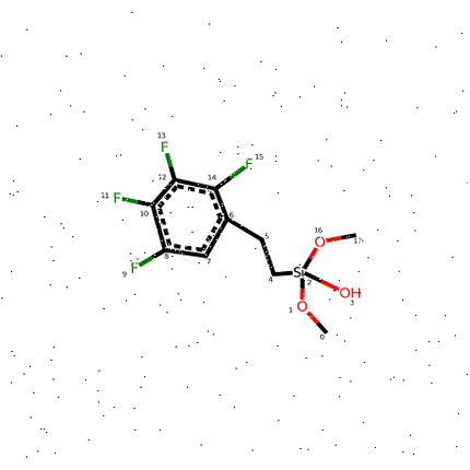 CO[Si](O)(CCc1cc(F)c(F)c(F)c1F)OC